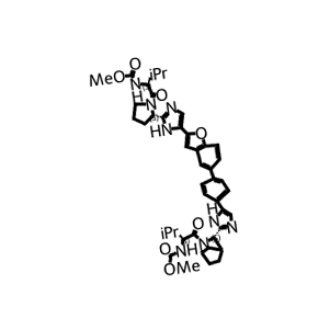 COC(=O)N[C@H](C(=O)N1CCC[C@H]1c1ncc(-c2cc3cc(-c4ccc(-c5cnc([C@@H]6C7CCC(C7)N6C(=O)[C@@H](NC(=O)OC)C(C)C)[nH]5)cc4)ccc3o2)[nH]1)C(C)C